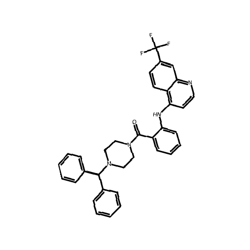 O=C(c1ccccc1Nc1ccnc2cc(C(F)(F)F)ccc12)N1CCN(C(c2ccccc2)c2ccccc2)CC1